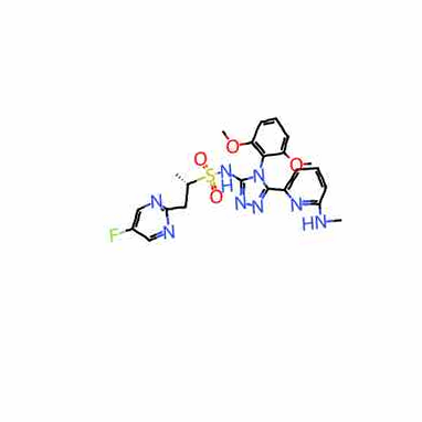 CNc1cccc(-c2nnc(NS(=O)(=O)[C@@H](C)Cc3ncc(F)cn3)n2-c2c(OC)cccc2OC)n1